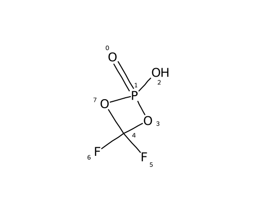 O=P1(O)OC(F)(F)O1